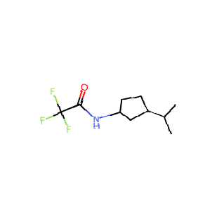 CC(C)C1CCC(NC(=O)C(F)(F)F)C1